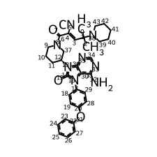 CC(C)(C=C(C#N)C(=O)N1CCC[C@H](n2c(=O)n(-c3ccc(Oc4ccccc4)cc3)c3c(N)ncnc32)C1)N1CCCCC1